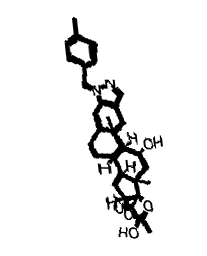 Cc1ccc(Cn2ncc3c2C=C2CC[C@@H]4[C@H]([C@@H](O)C[C@@]5(C)[C@H]4C[C@H]4OC(C)O[C@]45C(=O)CO)[C@@]2(C)C3)cc1